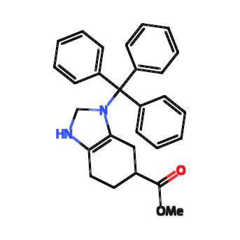 COC(=O)C1CCC2=C(C1)N(C(c1ccccc1)(c1ccccc1)c1ccccc1)CN2